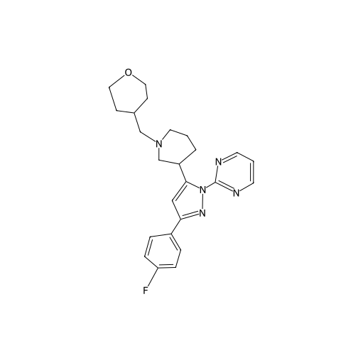 Fc1ccc(-c2cc(C3CCCN(CC4CCOCC4)C3)n(-c3ncccn3)n2)cc1